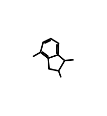 Cc1cccc2c1CC(C)C2C